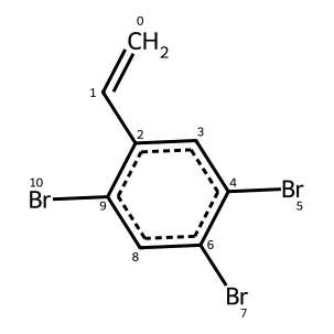 C=Cc1cc(Br)c(Br)cc1Br